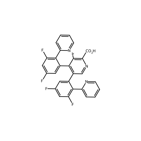 O=C(O)c1ncc(-c2cc(F)cc(F)c2-c2ccccn2)c(-c2cc(F)cc(F)c2-c2ccccn2)[c]1[Ir]